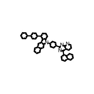 c1ccc(-c2ccc(-c3cccc4c3c3cc5ccccc5cc3n4-c3ccc(-c4nc(-c5cccc6ccccc56)c5cccnc5n4)cc3)cc2)cc1